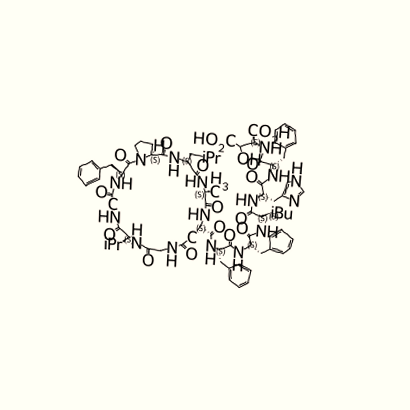 CC[C@H](C)[C@H](NC(=O)[C@H](Cc1ccccc1)NC(=O)[C@H](Cc1ccccc1)NC(=O)[C@@H]1CC(=O)NCC(=O)N[C@@H](C(C)C)C(=O)NCC(=O)N[C@@H](Cc2ccccc2)C(=O)N2CCC[C@H]2C(=O)N[C@@H](CC(C)C)C(=O)N[C@@H](C)C(=O)N1)C(=O)N[C@@H](Cc1c[nH]cn1)C(=O)N[C@@H](Cc1ccccc1)C(=O)N[C@H](C(=O)O)C(O)C(=O)O